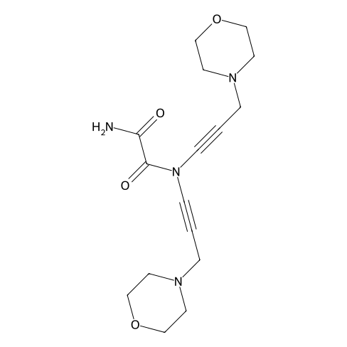 NC(=O)C(=O)N(C#CCN1CCOCC1)C#CCN1CCOCC1